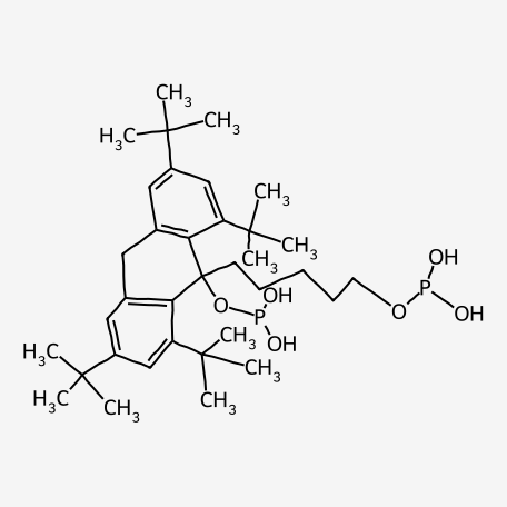 CC(C)(C)c1cc2c(c(C(C)(C)C)c1)C(CCCCCOP(O)O)(OP(O)O)c1c(cc(C(C)(C)C)cc1C(C)(C)C)C2